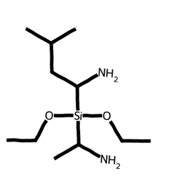 CCO[Si](OCC)(C(C)N)C(N)CC(C)C